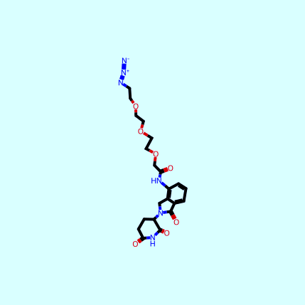 [N-]=[N+]=NCCOCCOCCOCC(=O)Nc1cccc2c1CN(C1CCC(=O)NC1=O)C2=O